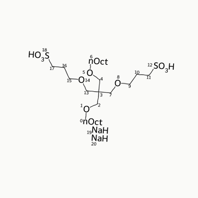 CCCCCCCCOCC(COCCCCCCCC)(COCCCS(=O)(=O)O)COCCCS(=O)(=O)O.[NaH].[NaH]